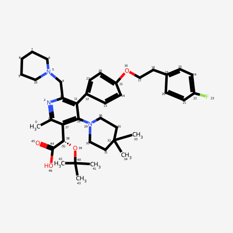 Cc1nc(CN2CCCCC2)c(-c2ccc(OCCc3ccc(F)cc3)cc2)c(N2CCC(C)(C)CC2)c1[C@H](OC(C)(C)C)C(=O)O